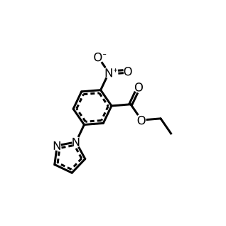 CCOC(=O)c1cc(-n2cccn2)ccc1[N+](=O)[O-]